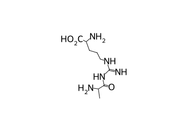 CC(N)C(=O)NC(=N)NCCCC(N)C(=O)O